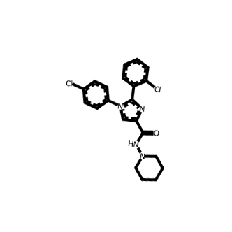 O=C(NN1CCCCC1)c1cn(-c2ccc(Cl)cc2)c(-c2ccccc2Cl)n1